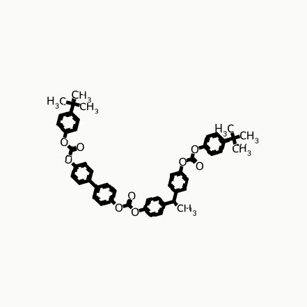 CC(c1ccc(OC(=O)Oc2ccc(-c3ccc(OC(=O)Oc4ccc(C(C)(C)C)cc4)cc3)cc2)cc1)c1ccc(OC(=O)Oc2ccc(C(C)(C)C)cc2)cc1